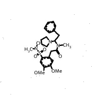 COc1cc(CC(=O)N(C)C(Cc2ccccc2)N2CCCC2)c(S(=O)(=O)N(C)C)cc1OC